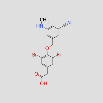 CNc1cc(C#N)cc(COc2c(Br)cc(CC(=O)O)cc2Br)c1